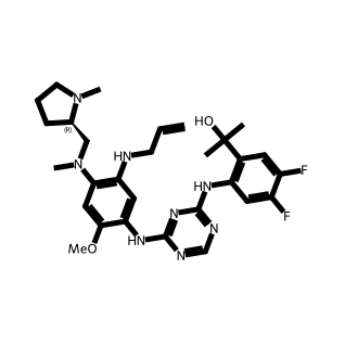 C=CCNc1cc(Nc2ncnc(Nc3cc(F)c(F)cc3C(C)(C)O)n2)c(OC)cc1N(C)C[C@H]1CCCN1C